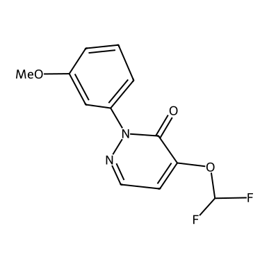 COc1cccc(-n2nccc(OC(F)F)c2=O)c1